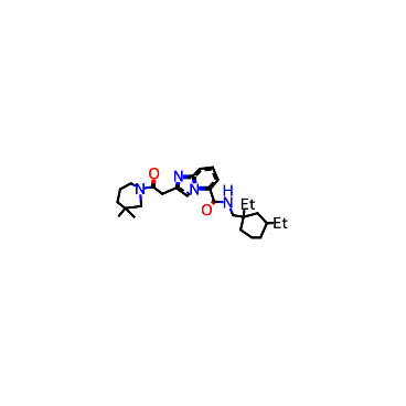 CCC1CCCC(CC)(CNC(=O)c2cccc3nc(CC(=O)N4CCCC(C)(C)C4)cn23)C1